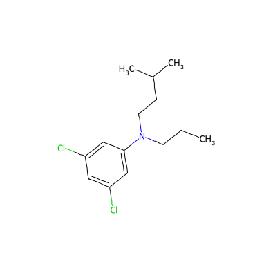 CCCN(CCC(C)C)c1cc(Cl)cc(Cl)c1